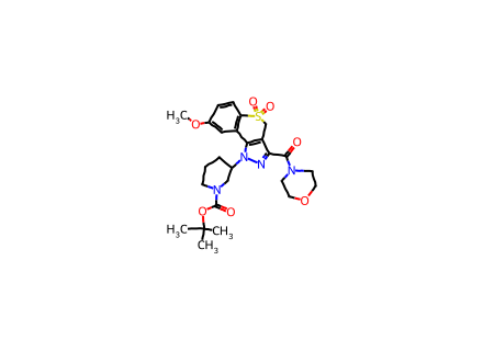 COc1ccc2c(c1)-c1c(c(C(=O)N3CCOCC3)nn1C1CCCN(C(=O)OC(C)(C)C)C1)CS2(=O)=O